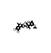 Cc1cc(OC(C)C)cc(-c2c(C)nn(-c3nc4c(s3)SC(C)c3cc(Cl)c(Cl)cc3-4)c2C(=O)O)c1